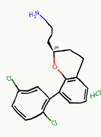 Cl.NCC[C@H]1CCc2cccc(-c3cc(Cl)ccc3Cl)c2O1